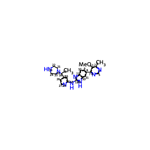 COc1c(C)ncnc1-c1ccc2nc(Nc3cc(C(C)N4CCNCC4)ccn3)[nH]c2c1